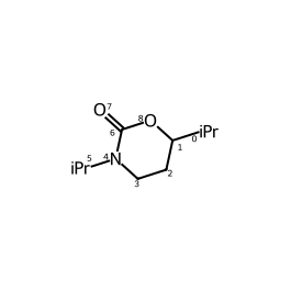 CC(C)C1CCN(C(C)C)C(=O)O1